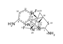 NC1=N[C@](CF)(c2cc(N)ccc2F)[C@@H]2C[C@]2(c2c[nH]nn2)S1